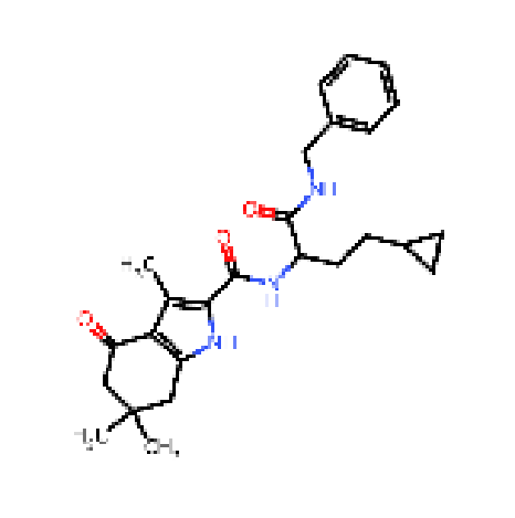 Cc1c(C(=O)NC(CCC2CC2)C(=O)NCc2ccccc2)[nH]c2c1C(=O)CC(C)(C)C2